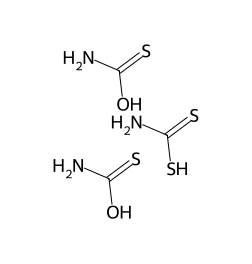 NC(=S)S.NC(O)=S.NC(O)=S